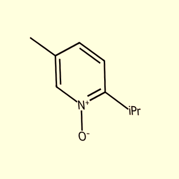 Cc1ccc(C(C)C)[n+]([O-])c1